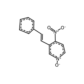 O=[N+]([O-])c1cc[n+]([O-])cc1/C=C/c1ccccc1